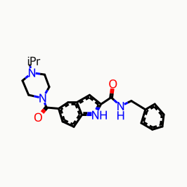 CC(C)N1CCN(C(=O)c2ccc3[nH]c(C(=O)NCc4ccccc4)cc3c2)CC1